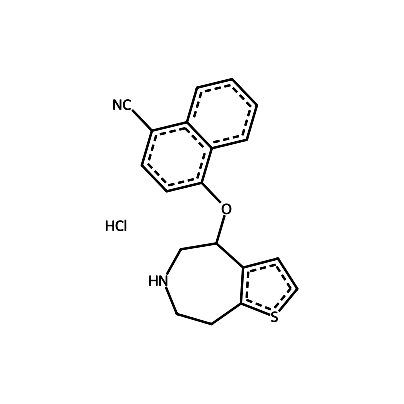 Cl.N#Cc1ccc(OC2CNCCc3sccc32)c2ccccc12